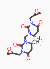 CC1CC(=O)N(CC2CO2)C(=O)N1CN1C(=O)N(CC2CO2)C(=O)CC1C